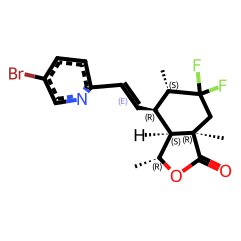 C[C@H]1OC(=O)[C@]2(C)CC(F)(F)[C@@H](C)[C@H](/C=C/c3ccc(Br)cn3)[C@H]12